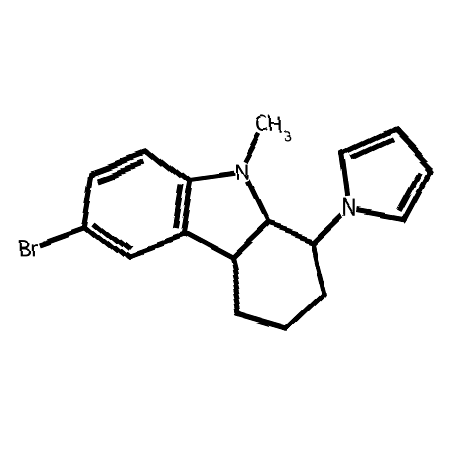 CN1c2ccc(Br)cc2C2CCCC(n3cccc3)C21